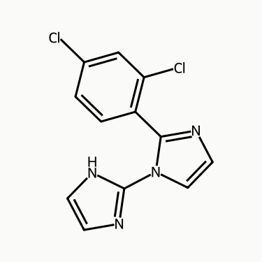 Clc1ccc(-c2nccn2-c2ncc[nH]2)c(Cl)c1